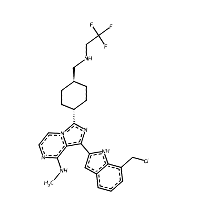 CNc1nccn2c1c(-c1cc3cccc(CCl)c3[nH]1)nc2[C@H]1CC[C@H](CNCC(F)(F)F)CC1